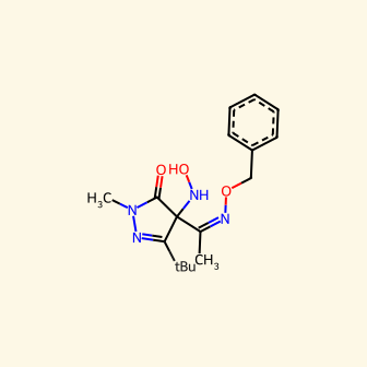 CC(=NOCc1ccccc1)C1(NO)C(=O)N(C)N=C1C(C)(C)C